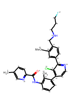 [CH2]c1ccc(C(=O)Nc2cccc(-c3ccnc(-c4ccc(CNCCCF)c(OC)c4)c3Cl)c2C)nc1